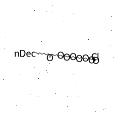 CCCCCCCCCCCCCCCCCC(=O)CCCCOCCOCCOCCOCCOCCOC(=O)Cl